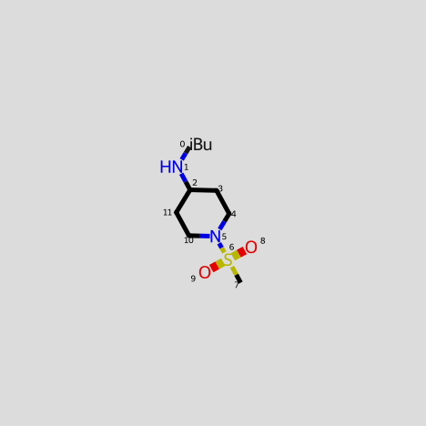 CCC(C)NC1CCN(S(C)(=O)=O)CC1